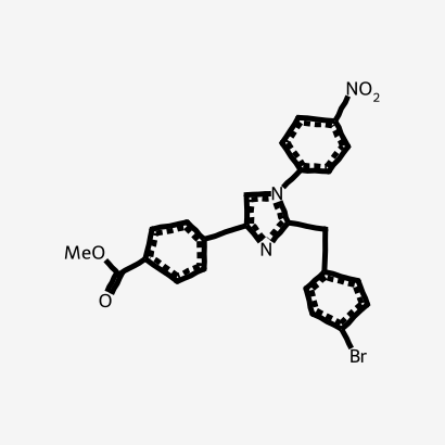 COC(=O)c1ccc(-c2cn(-c3ccc([N+](=O)[O-])cc3)c(Cc3ccc(Br)cc3)n2)cc1